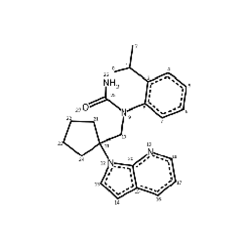 CC(C)c1ccccc1N(CC1(n2ccc3cccnc32)CCCC1)C(N)=O